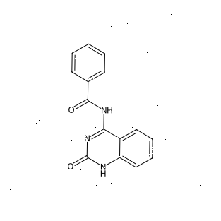 O=C(Nc1nc(=O)[nH]c2ccccc12)c1ccccc1